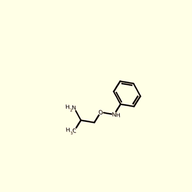 CC(N)CONc1ccccc1